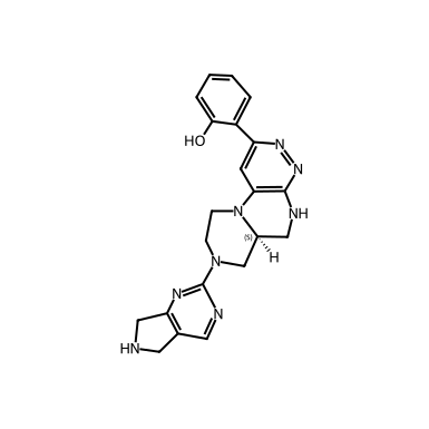 Oc1ccccc1-c1cc2c(nn1)NC[C@H]1CN(c3ncc4c(n3)CNC4)CCN21